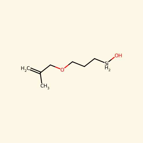 C=C(C)COCCC[SiH2]O